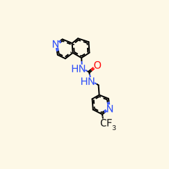 O=C(NCc1ccc(C(F)(F)F)nc1)Nc1cccc2cnccc12